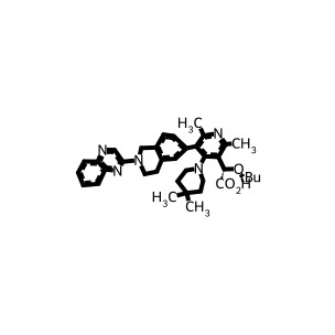 Cc1nc(C)c([C@H](OC(C)(C)C)C(=O)O)c(N2CCC(C)(C)CC2)c1-c1ccc2c(c1)CCN(c1cnc3ccccc3n1)C2